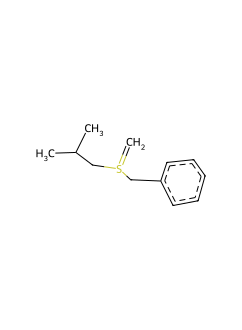 C=S(Cc1ccccc1)CC(C)C